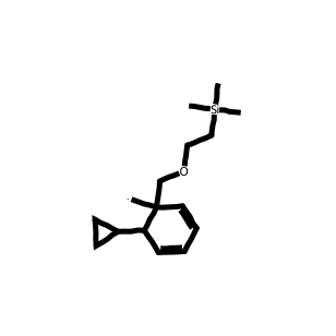 [CH2]C1(COCC[Si](C)(C)C)C=CC=CC1C1CC1